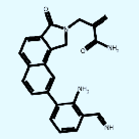 C=C(CN1Cc2c(ccc3ccc(-c4cccc(C=N)c4N)cc23)C1=O)C(N)=O